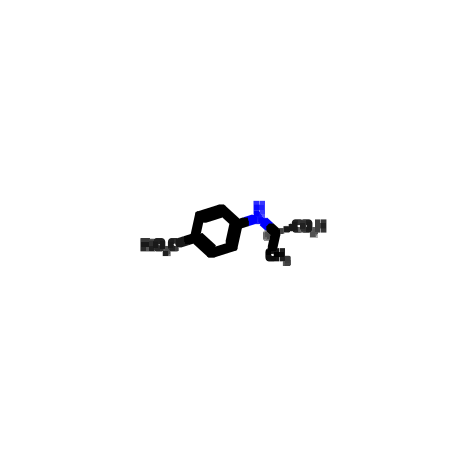 CCOC(=O)c1ccc(N[C@@H](C)C(=O)O)cc1